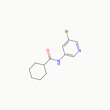 O=C(Nc1cncc(Br)c1)C1CCCCC1